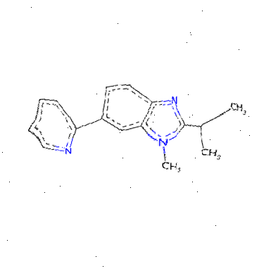 CC(C)c1nc2ccc(-c3ccccn3)cc2n1C